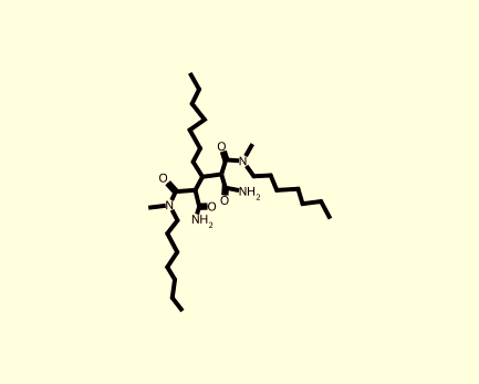 CCCCCCCC(C(C(N)=O)C(=O)N(C)CCCCCCC)C(C(N)=O)C(=O)N(C)CCCCCCC